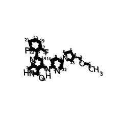 CCOC[C@@H]1CCN(c2ccc(Nc3cc(-c4c(F)cccc4F)nc4c3C(=O)NC4)nc2)C1